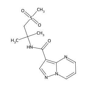 CC(C)(CS(C)(=O)=O)NC(=O)c1cnn2cccnc12